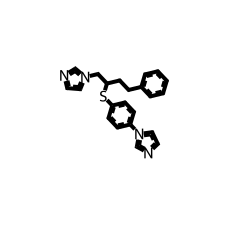 c1ccc(CCC(Cn2ccnc2)Sc2ccc(-n3ccnc3)cc2)cc1